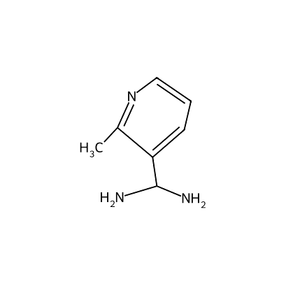 Cc1ncccc1C(N)N